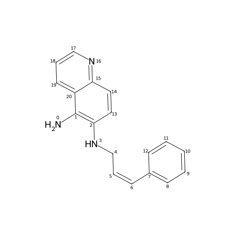 Nc1c(NC/C=C\c2ccccc2)ccc2ncccc12